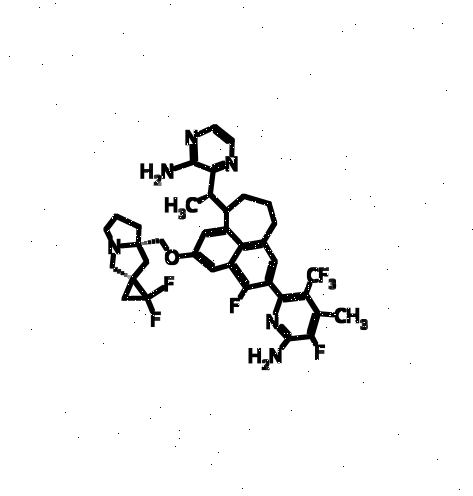 Cc1c(F)c(N)nc(-c2cc3c4c(cc(OC[C@@]56CCCN5C[C@]5(CC5(F)F)C6)cc4c2F)C([C@@H](C)c2nccnc2N)CCC3)c1C(F)(F)F